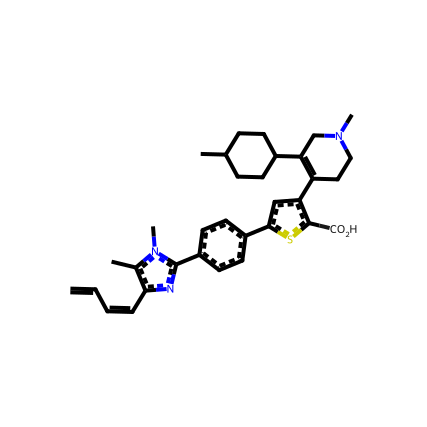 C=C/C=C\c1nc(-c2ccc(-c3cc(C4=C(C5CCC(C)CC5)CN(C)CC4)c(C(=O)O)s3)cc2)n(C)c1C